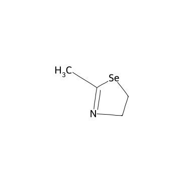 CC1=NCC[Se]1